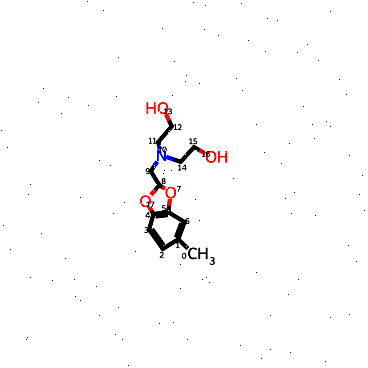 Cc1ccc2c(c1)OC(CN(CCO)CCO)O2